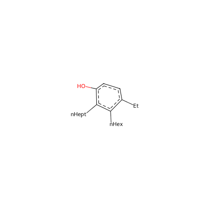 CCCCCCCc1c(O)ccc(CC)c1CCCCCC